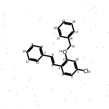 Clc1ccc(C=Cc2ccccc2)c(OCc2ccccc2)c1